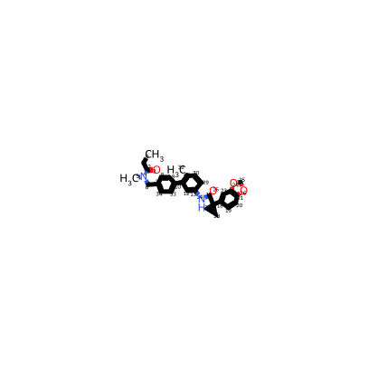 CCC(=O)N(C)Cc1ccc(-c2cc(NC(=O)C3(c4ccc5c(c4)OCO5)CC3)ccc2C)cc1